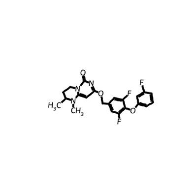 CC1CCn2c(cc(OCc3cc(F)c(Oc4cccc(F)c4)c(F)c3)nc2=O)N1C